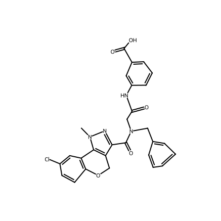 Cn1nc(C(=O)N(CC(=O)Nc2cccc(C(=O)O)c2)Cc2ccccc2)c2c1-c1cc(Cl)ccc1OC2